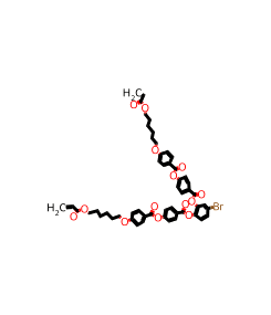 C=CC(=O)OCCCCCCOc1ccc(C(=O)Oc2ccc(C(=O)Oc3ccc(Br)cc3OC(=O)c3ccc(OC(=O)c4ccc(OCCCCCCOC(=O)C=C)cc4)cc3)cc2)cc1